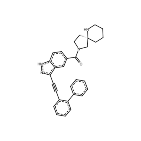 O=C(c1ccc2[nH]nc(C#Cc3ccccc3-c3ccccc3)c2c1)N1CC[C@]2(CCCCN2)C1